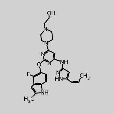 C/C=C\c1cc(Nc2cc(N3CCN(CCO)CC3)nc(Oc3ccc4[nH]c(C)cc4c3F)n2)n[nH]1